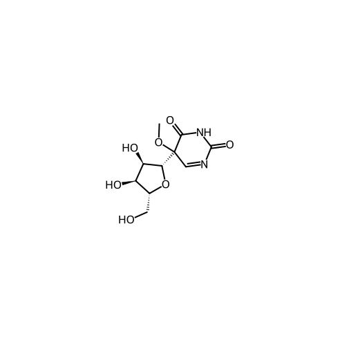 COC1([C@@H]2O[C@H](CO)[C@@H](O)[C@H]2O)C=NC(=O)NC1=O